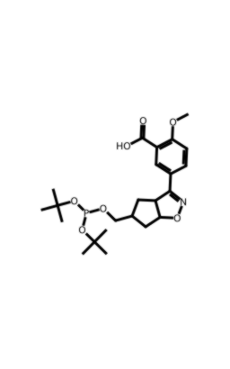 COc1ccc(C2=NOC3CC(COP(OC(C)(C)C)OC(C)(C)C)CC23)cc1C(=O)O